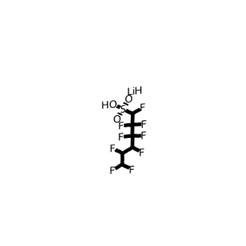 O=S(=O)(O)C(F)C(F)(F)C(F)(F)C(F)C(F)C(F)F.[LiH]